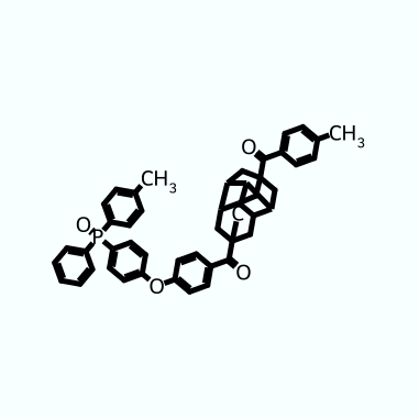 Cc1ccc(C(=O)C23CC4C5CC6(C(=O)c7ccc(Oc8ccc(P(=O)(c9ccccc9)c9ccc(C)cc9)cc8)cc7)CC4C(C2)C(C6)C5C3)cc1